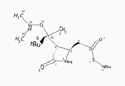 CCCCSC(=O)C[C@H]1NC(=O)[C@@H]1[C@@](C)(O[SiH](C)C)C(C)(C)C